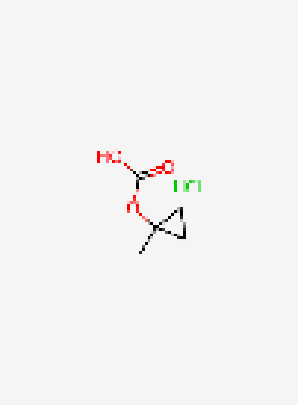 CC1(OC(=O)O)CC1.Cl